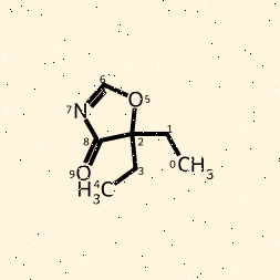 CCC1(CC)O[C]=NC1=O